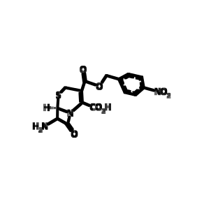 NC1C(=O)N2C(C(=O)O)=C(C(=O)OCc3ccc([N+](=O)[O-])cc3)CS[C@H]12